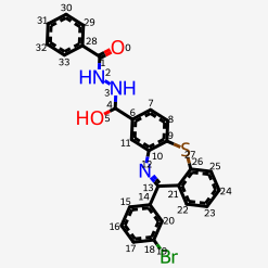 O=C(NNC(O)c1ccc2c(c1)N=C(c1cccc(Br)c1)c1ccccc1S2)c1ccccc1